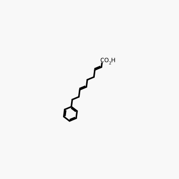 O=C(O)C=CCCC=CCCc1ccccc1